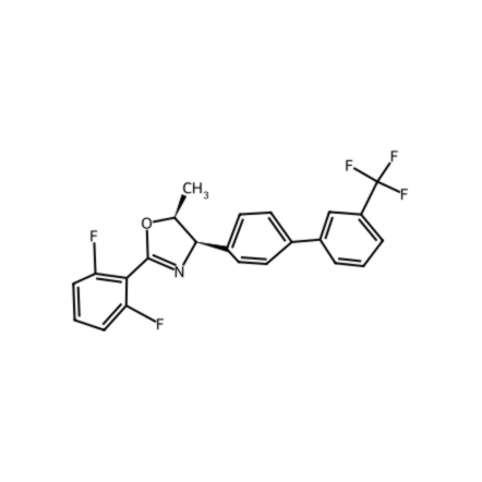 C[C@@H]1OC(c2c(F)cccc2F)=N[C@@H]1c1ccc(-c2cccc(C(F)(F)F)c2)cc1